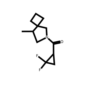 CC1CN(C(=O)C2CC2(F)F)CC12CCC2